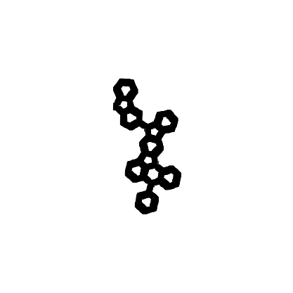 c1ccc(N2c3ccccc3-n3c4cc5c6ccccc6n(-c6ccc7sc8ccccc8c7c6)c5cc4c4cccc2c43)cc1